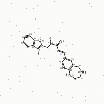 Cc1c(CN(C)C(=O)/C=C/c2cnc3c(c2)CNCCN3)oc2c#cccc12